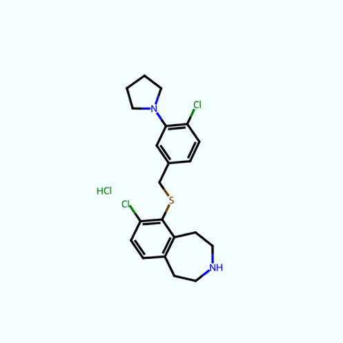 Cl.Clc1ccc(CSc2c(Cl)ccc3c2CCNCC3)cc1N1CCCC1